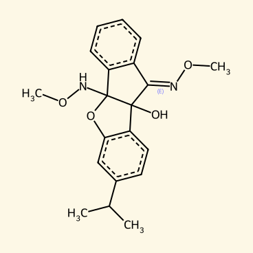 CO/N=C1\c2ccccc2C2(NOC)Oc3cc(C(C)C)ccc3C12O